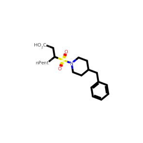 CCCCCC(CC(=O)O)S(=O)(=O)N1CCC(Cc2ccccc2)CC1